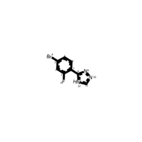 Fc1cc(Br)ccc1-c1nnc[nH]1